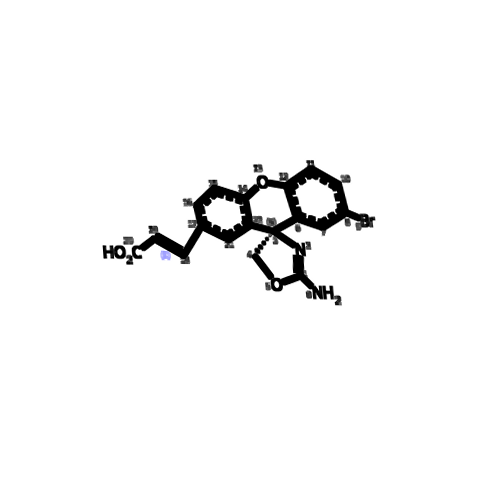 NC1=N[C@]2(CO1)c1cc(Br)ccc1Oc1ccc(/C=C/C(=O)O)cc12